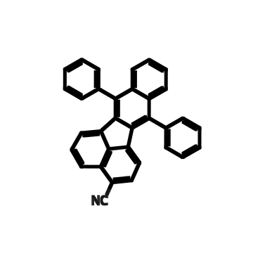 N#Cc1ccc2c3c(cccc13)-c1c-2c(-c2ccccc2)c2ccccc2c1-c1ccccc1